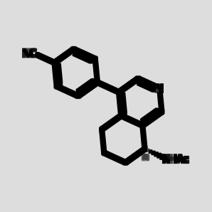 CC(=O)N[C@@H]1CCCc2c(-c3ccc(C#N)cc3)cncc21